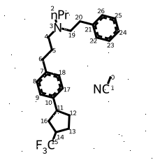 CC#N.CCCN(CCCc1ccc(C2CCC(C(F)(F)F)C2)cc1)CCc1ccccc1